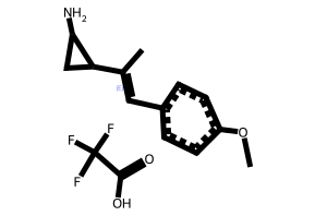 COc1ccc(/C=C(\C)C2CC2N)cc1.O=C(O)C(F)(F)F